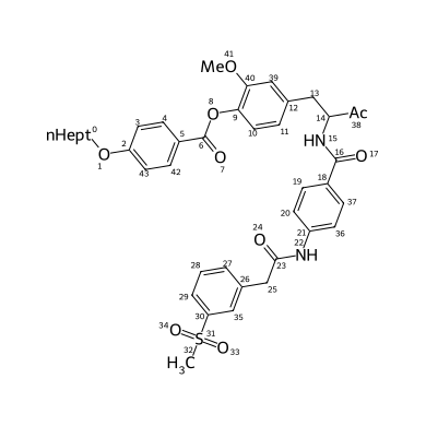 CCCCCCCOc1ccc(C(=O)Oc2ccc(CC(NC(=O)c3ccc(NC(=O)Cc4cccc(S(C)(=O)=O)c4)cc3)C(C)=O)cc2OC)cc1